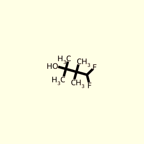 CC(C)(O)C(C)(C)C(F)F